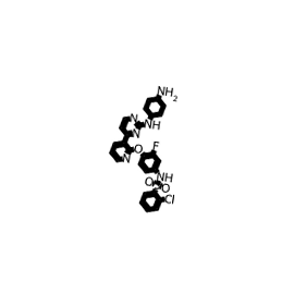 NC1CCC(Nc2nccc(-c3cccnc3Oc3ccc(NS(=O)(=O)c4ccccc4Cl)cc3F)n2)CC1